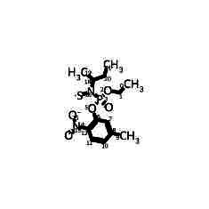 CCOP(=O)(Oc1cc(C)ccc1[N+](=O)[O-])N([S])C(C)CC